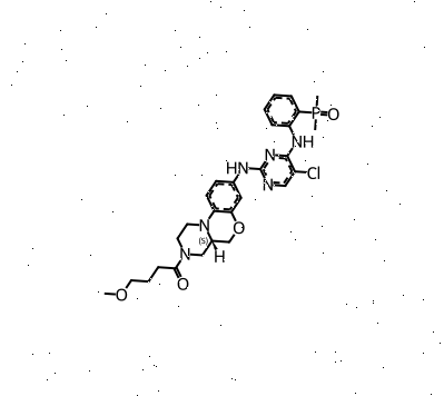 COCCCC(=O)N1CCN2c3ccc(Nc4ncc(Cl)c(Nc5ccccc5P(C)(C)=O)n4)cc3OC[C@@H]2C1